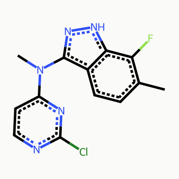 Cc1ccc2c(N(C)c3ccnc(Cl)n3)n[nH]c2c1F